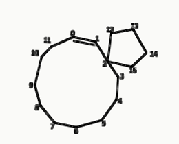 C1=CC2(CCCCCCCCC1)CCCC2